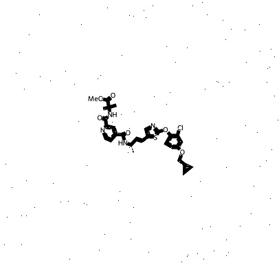 COC(=O)C(C)(C)NC(=O)c1cc(C(=O)N[C@@H](C)/C=C/c2cnc(Oc3ccc(OCC4CC4)cc3Cl)s2)ccn1